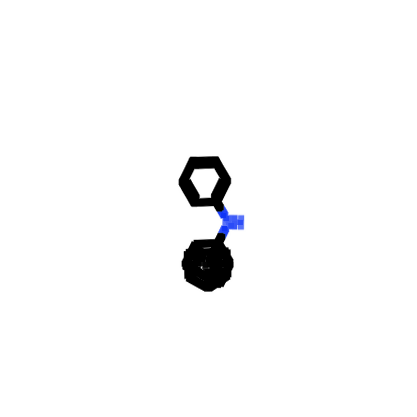 c1ccc(N[C]23[CH]4[CH]5[CH]6[CH]2[Fe]56432789[CH]3[CH]2[CH]7[CH]8[CH]39)cc1